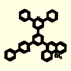 CC12C=CC=CC1=CC(c1cc(-c3cc(C4=CC=CCC4)nc(-c4ccccc4)c3)cc(-c3ccc(-c4ccccc4)cn3)c1)=C1C=CC=CC12